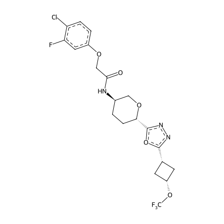 O=C(COc1ccc(Cl)c(F)c1)N[C@@H]1CC[C@@H](c2nnc([C@H]3C[C@@H](OC(F)(F)F)C3)o2)OC1